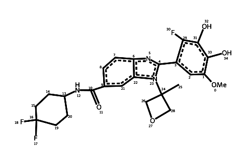 COc1cc(-c2nc3ccc(C(=O)NC4CCC(F)(F)CC4)cc3n2C2(C)COC2)c(F)c(O)c1O